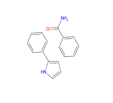 NC(=O)c1ccccc1.c1ccc(-c2ccc[nH]2)cc1